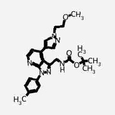 COCCn1cc(-c2ccnc3c2c(CNC(=O)OC(C)(C)C)nn3-c2ccc(C)cc2)cn1